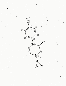 C[C@H]1CN(C2CC2)CCN1c1ccc(Cl)nc1